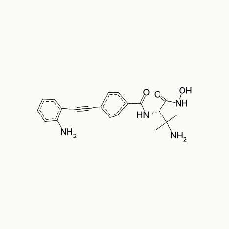 CC(C)(N)[C@H](NC(=O)c1ccc(C#Cc2ccccc2N)cc1)C(=O)NO